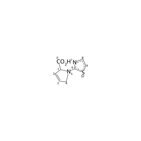 O=C(O)C1C=CCN1c1nccs1